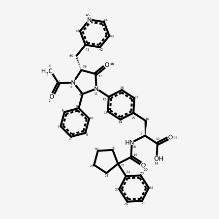 CC(=O)N1C(c2ccccc2)N(c2ccc(C[C@H](NC(=O)C3(c4ccccc4)CCCC3)C(=O)O)cc2)C(=O)[C@H]1Cc1cccnc1